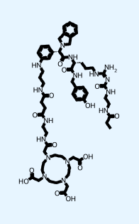 CCC(=O)NCCNC(=O)/N=C(/N)NCCC[C@@H](NC(=O)[C@H](c1cccc(NCCCNC(=O)CCC(=O)NCCNC(=O)CN2CCN(CC(=O)O)CCN(CC(=O)O)CCN(CC(=O)O)CC2)c1)N1Cc2ccccc2C1)C(=O)NCc1ccc(O)cc1